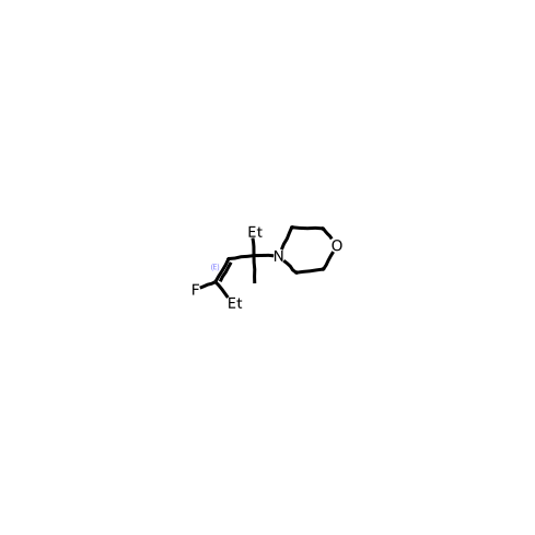 CC/C(F)=C\C(C)(CC)N1CCOCC1